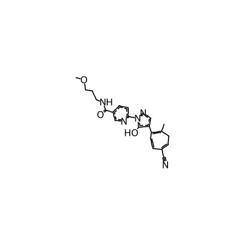 COCCCNC(=O)c1ccc(-n2ncc(C3=C(C)CC=C(C#N)C=C3)c2O)nc1